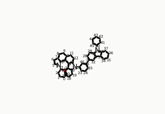 c1ccc(-n2ccc3ccc4ccc5c(c6ccccc6n5-c5cccc(-c6ccc7c(c6)c6ccccc6n7-c6ccccc6)c5)c4c32)cc1